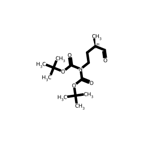 C[C@@H](C=O)CCN(C(=O)OC(C)(C)C)C(=O)OC(C)(C)C